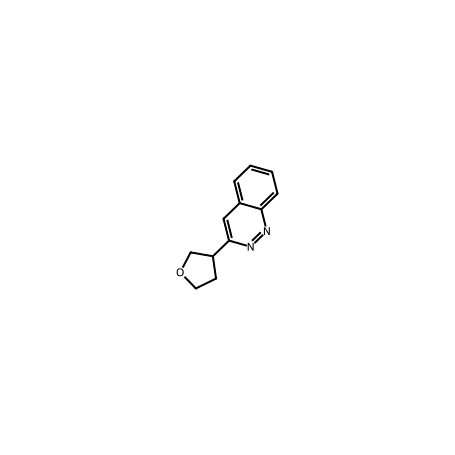 c1ccc2nnc(C3CCOC3)cc2c1